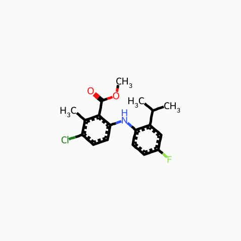 COC(=O)c1c(Nc2ccc(F)cc2C(C)C)ccc(Cl)c1C